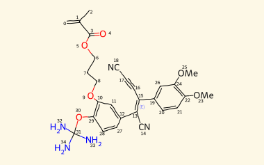 C=C(C)C(=O)OCCCOc1cc(/C(C#N)=C(\C#CC#N)c2ccc(OC)c(OC)c2)ccc1OC(N)(N)N